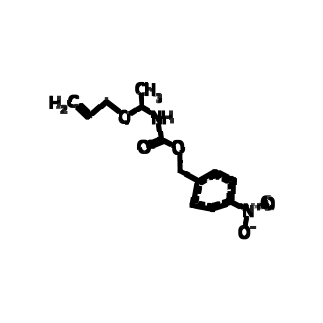 C=C[CH]OC(C)NC(=O)OCc1ccc([N+](=O)[O-])cc1